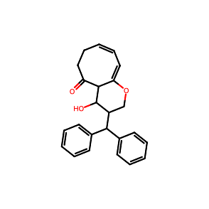 O=C1CCC=CC=C2OCC(C(c3ccccc3)c3ccccc3)C(O)C12